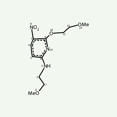 COCCNc1ccc([N+](=O)[O-])c(OCCOC)n1